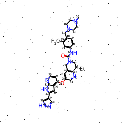 CC[C@H]1CN(C(=O)Nc2ccc(CN3CCN(C)CC3)c(C(F)(F)F)c2)Cc2cc(Oc3ccnc4[nH]c(-c5cn[nH]c5)cc34)cnc21